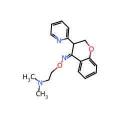 CN(C)CCON=C1c2ccccc2OCC1c1ccccn1